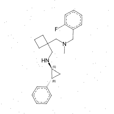 CN(Cc1ccccc1F)CC1(CN[C@H]2C[C@@H]2c2ccccc2)CCC1